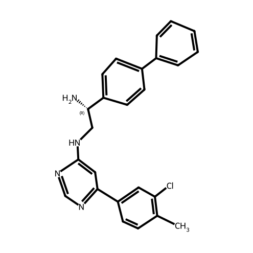 Cc1ccc(-c2cc(NC[C@H](N)c3ccc(-c4ccccc4)cc3)ncn2)cc1Cl